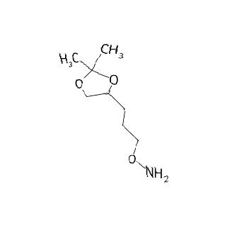 CC1(C)OCC(CCCON)O1